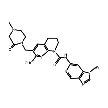 CC(C)n1cnc2cnc(NC(=O)N3CCCc4cc(CN5CCN(C)CC5=O)c(C=O)nc43)cc21